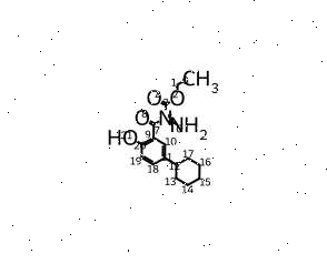 CCOC(=O)N(N)C(=O)c1cc(C2CCCCC2)ccc1O